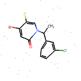 CC(c1cccc(Cl)c1)n1cc(F)c(Br)cc1=O